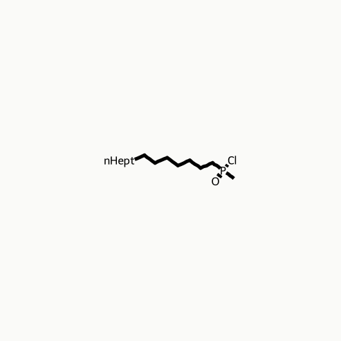 CCCCCCCCCCCCCCP(C)(=O)Cl